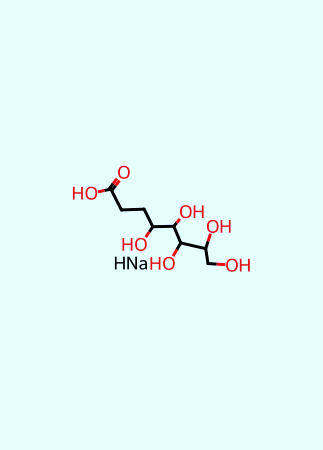 O=C(O)CCC(O)C(O)C(O)C(O)CO.[NaH]